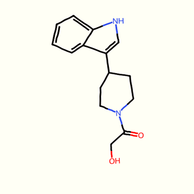 O=C(CO)N1CCC(c2c[nH]c3ccccc23)CC1